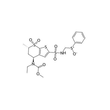 CCN(C(=O)OC)[C@H]1C[C@H](C)S(=O)(=O)c2sc(S(=O)(=O)NC[S+]([O-])c3ccccc3)cc21